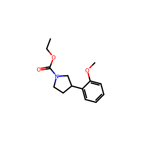 CCOC(=O)N1CCC(c2ccccc2OC)C1